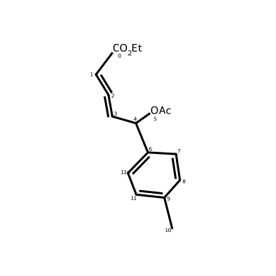 CCOC(=O)C=C=CC(OC(C)=O)c1ccc(C)cc1